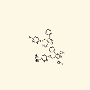 CNc1ccc(OCc2c(-c3ccccc3)noc2C)nn1.Cc1onc(-c2ccccc2)c1COc1ccc(I)nn1.Cl